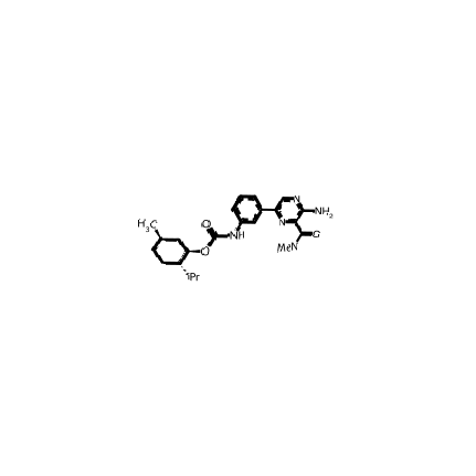 CNC(=O)c1nc(-c2cccc(NC(=O)O[C@@H]3C[C@H](C)CC[C@H]3C(C)C)c2)cnc1N